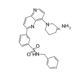 N[C@@H]1CCCN(c2ccnc3ccc(-c4cccc(S(=O)(=O)NCc5ccccc5)c4)nc23)C1